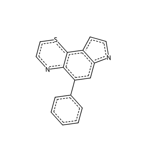 c1ccc(-c2cc3nccc3c3sccnc23)cc1